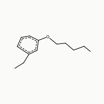 [CH2]Cc1cccc(OCCCCC)c1